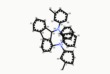 Cc1cccc(N(c2ccccc2)c2cccc3c2C(N(c2ccccc2)c2cccc(C)c2)c2ccccc2-3)c1